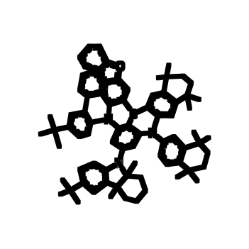 CC(C)(C)c1ccc(N2c3cc4c(cc3B3c5cc6c(cc5N(c5ccc7c(c5)C(C)(C)CCC7(C)C)c5cc(N7c8ccc(C(C)(C)C)cc8C8(C)CCCCC78C)cc2c53)C(C)(C)CCC6(C)C)oc2ccccc24)c(-c2ccccc2)c1